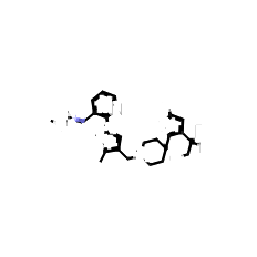 CO/N=C/c1cccnc1-n1cc(CN2CCC3(CC2)OCC(F)(F)c2cc(Cl)sc23)c(C)n1